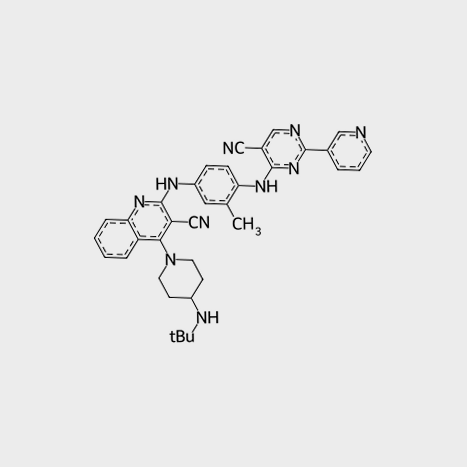 Cc1cc(Nc2nc3ccccc3c(N3CCC(NC(C)(C)C)CC3)c2C#N)ccc1Nc1nc(-c2cccnc2)ncc1C#N